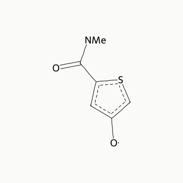 CNC(=O)c1cc([O])cs1